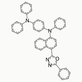 c1ccc(-c2nnc(-c3ccc(N(c4ccccc4)c4ccc(N(c5ccccc5)c5ccccc5)cc4)c4ccccc34)o2)cc1